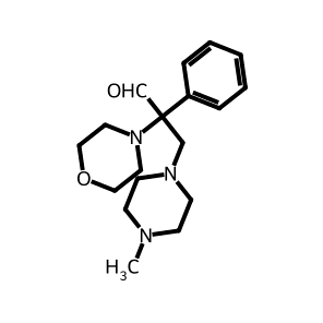 CN1CCN(CC(C=O)(c2ccccc2)N2CCOCC2)CC1